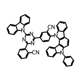 N#Cc1ccccc1-c1nc(-c2ccc(-n3c4ccccc4c4ccc5c(c6ccccc6n5-c5ccccc5)c43)c(C#N)c2)nc(-n2c3ccccc3c3ccccc32)n1